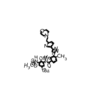 COc1c(NC(=O)c2ccc(C)c(-n3cc(-c4ccc(CCN5CCOCC5)nc4)nn3)c2)cc(C(C)(C)C)cc1NS(C)(=O)=O